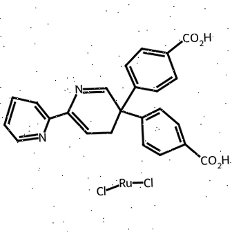 O=C(O)c1ccc(C2(c3ccc(C(=O)O)cc3)C=NC(c3ccccn3)=CC2)cc1.[Cl][Ru][Cl]